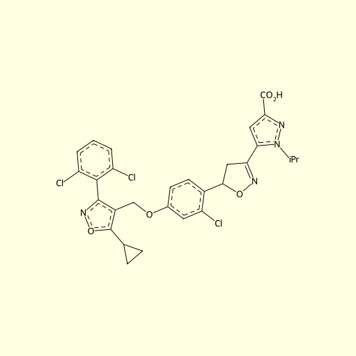 CC(C)n1nc(C(=O)O)cc1C1=NOC(c2ccc(OCc3c(-c4c(Cl)cccc4Cl)noc3C3CC3)cc2Cl)C1